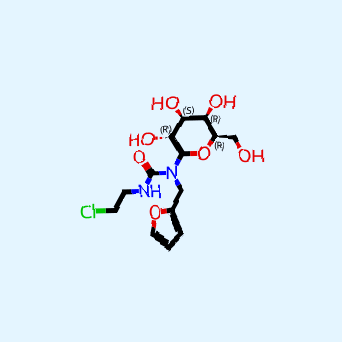 O=C(NCCCl)N(Cc1ccco1)C1O[C@H](CO)[C@H](O)[C@H](O)[C@H]1O